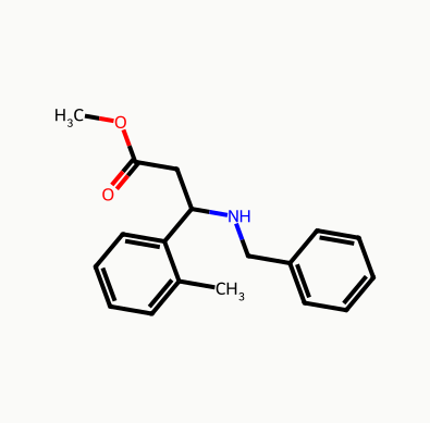 COC(=O)CC(NCc1ccccc1)c1ccccc1C